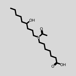 CCCCCC(O)CCCN(CCCCCCC(=O)O)C(C)=O